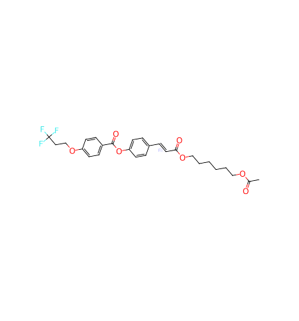 CC(=O)OCCCCCCOC(=O)/C=C/c1ccc(OC(=O)c2ccc(OCCC(F)(F)F)cc2)cc1